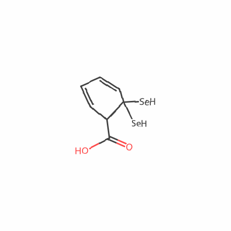 O=C(O)C1C=CC=CC1([SeH])[SeH]